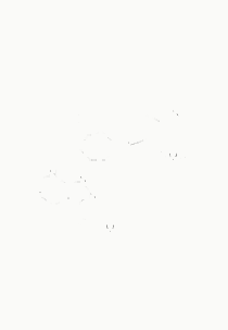 COC(=O)c1nn(-c2cc(C#C[C@]3(OC)CCN(C)C3=O)cc(OC(F)F)c2)c2ncccc12